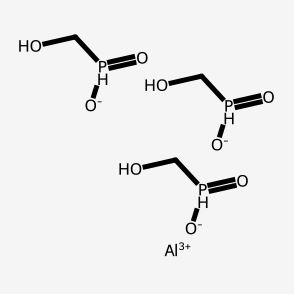 O=[PH]([O-])CO.O=[PH]([O-])CO.O=[PH]([O-])CO.[Al+3]